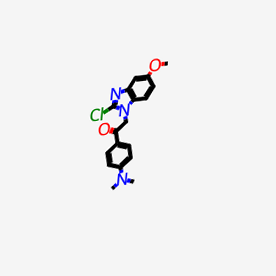 COc1ccc2c(c1)nc(Cl)n2CC(=O)c1ccc(N(C)C)cc1